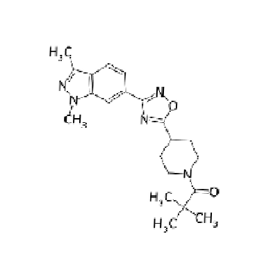 Cc1nn(C)c2cc(-c3noc(C4CCN(C(=O)C(C)(C)C)CC4)n3)ccc12